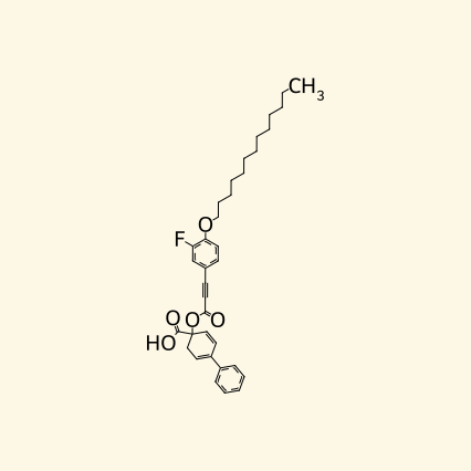 CCCCCCCCCCCCCOc1ccc(C#CC(=O)OC2(C(=O)O)C=CC(c3ccccc3)=CC2)cc1F